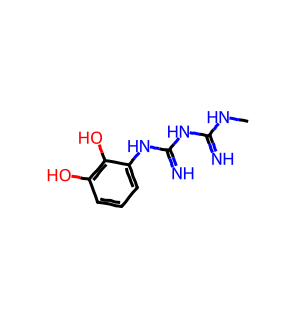 CNC(=N)NC(=N)Nc1cccc(O)c1O